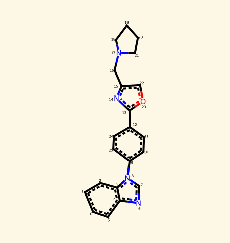 c1ccc2c(c1)ncn2-c1ccc(-c2nc(CN3CCCC3)co2)cc1